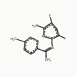 C/C(=N/c1nc(N)c(F)cc1F)c1ccc(C)cc1